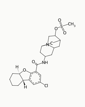 CS(=O)(=O)OC1CN2C3CC(NC(=O)c4cc(Cl)cc5c4O[C@@H]4CCCC[C@@H]54)CC2CC1C3